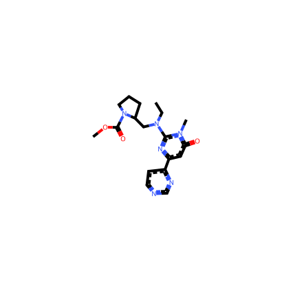 CCN(CC1CCCN1C(=O)OC)c1nc(-c2ccncn2)cc(=O)n1C